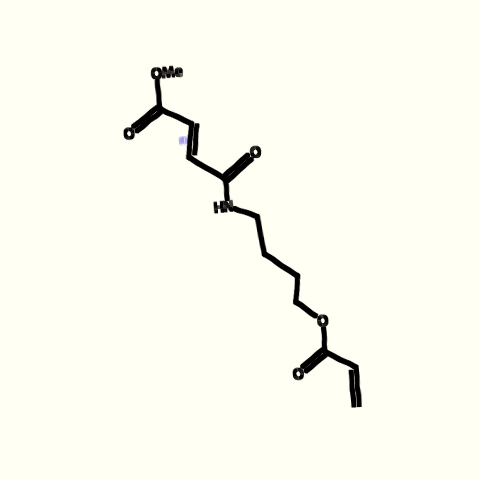 C=CC(=O)OCCCCNC(=O)/C=C/C(=O)OC